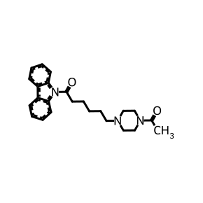 CC(=O)N1CCN(CCCCCC(=O)n2c3ccccc3c3ccccc32)CC1